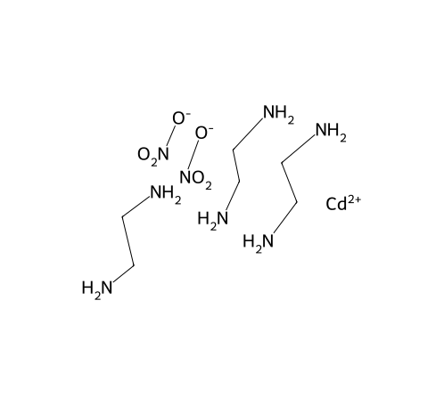 NCCN.NCCN.NCCN.O=[N+]([O-])[O-].O=[N+]([O-])[O-].[Cd+2]